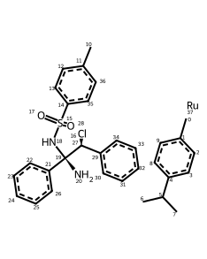 Cc1ccc(C(C)C)cc1.Cc1ccc(S(=O)(=O)N[C@@](N)(c2ccccc2)[C@@H](Cl)c2ccccc2)cc1.[Ru]